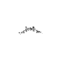 C=CC(=O)OCCCOc1c(Br)cc(S(=O)(=O)c2cc(Br)c(OCCCOC(=O)C=C)c(Br)c2)cc1Br